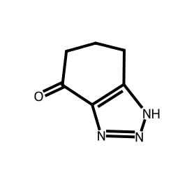 O=C1CCCc2[nH]nnc21